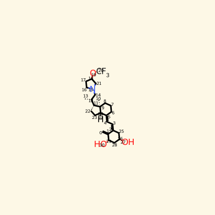 C=C1/C(=C\C=C2/CCC[C@]3(C)[C@@H]([C@H](C)CN4CC[C@@H](OC(F)(F)F)C4)CC[C@@H]23)C[C@@H](O)C[C@@H]1O